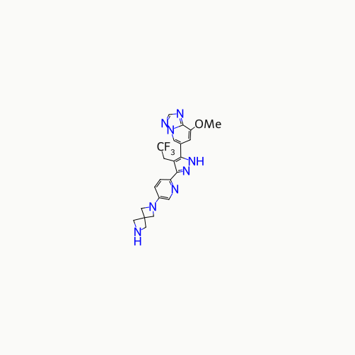 COc1cc(-c2[nH]nc(-c3ccc(N4CC5(CNC5)C4)cn3)c2CC(F)(F)F)cn2ncnc12